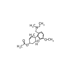 CCN(C)Cc1ccc(OC)c2c1[C@]1(C)C=C[C@H](OC(C)=O)C[C@@H]1O2